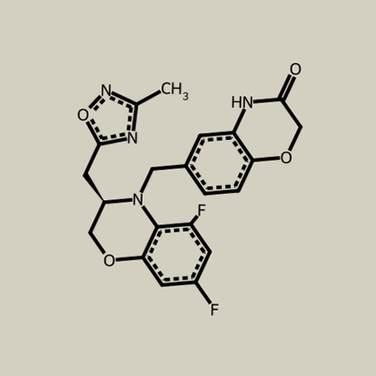 Cc1noc(C[C@@H]2COc3cc(F)cc(F)c3N2Cc2ccc3c(c2)NC(=O)CO3)n1